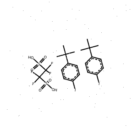 CC(C)(C)c1ccc(I)cc1.CC(C)(C)c1ccc(I)cc1.O=S(=O)(O)C(F)(F)C(F)(F)S(=O)(=O)O